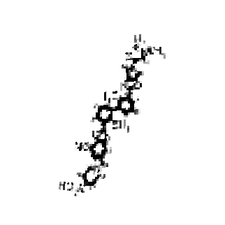 Cc1c(-c2nc3c(o2)CN(C(=O)CN(C)C)C3)cccc1-c1cccc(-c2nc3cc(CN4CCC(C(=O)O)CC4)cc(C#N)c3o2)c1C